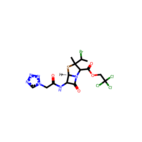 CC(Br)C1(C)S[C@@H]2C(NC(=O)Cn3cnnn3)C(=O)N2C1C(=O)OCC(Cl)(Cl)Cl